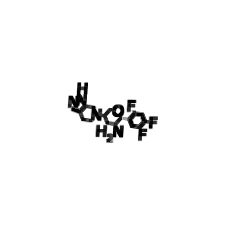 N[C@H]1C[C@@H](N2CCc3cn[nH]c3C2)CO[C@@H]1c1cc(F)c(F)cc1F